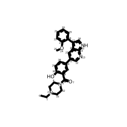 CCN1CCN(C(=O)c2cc(-c3cnc4[nH]cc(-c5ccccc5OC)c4c3)ccc2O)CC1